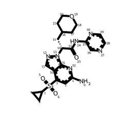 Nc1cc(S(=O)(=O)C2CC2)c2cnn([C@H](CC3CCOCC3)C(=O)Nc3cnccn3)c2n1